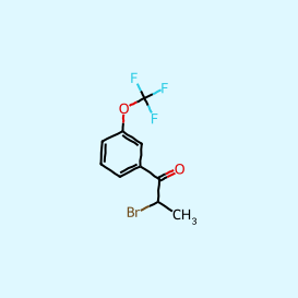 CC(Br)C(=O)c1cccc(OC(F)(F)F)c1